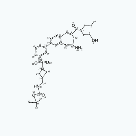 CCCN(CCO)C(=O)C1=Cc2ccc(-c3cccc(S(=O)(=O)N4CC(CNC(=O)OC(C)(C)C)C4)c3)cc2N=C(N)C1